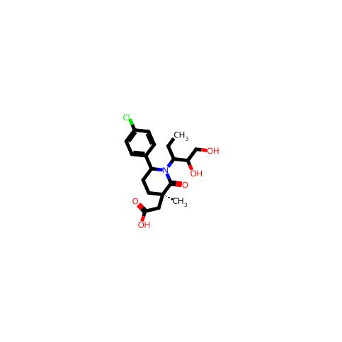 CCC(C(O)CO)N1C(=O)[C@@](C)(CC(=O)O)CCC1c1ccc(Cl)cc1